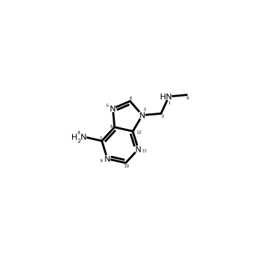 CNCn1cnc2c(N)ncnc21